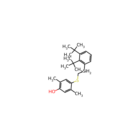 Cc1cc(SC[SiH2]c2cccc(C(C)(C)C)c2C(C)(C)C)c(C)cc1O